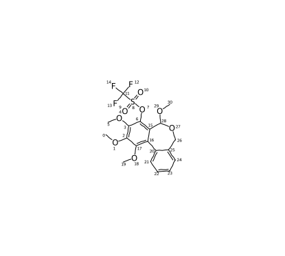 COc1c(OC)c(OS(=O)(=O)C(F)(F)F)c2c(c1OC)-c1ccccc1COC2OC